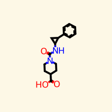 O=C(O)C1CCN(C(=O)NC2CC2c2ccccc2)CC1